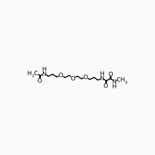 CNC(=O)C(=O)NCCCOCCOCCOCCCNC(C)=O